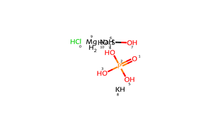 Cl.O=P(O)(O)O.O=S(=O)(O)O.[KH].[MgH2].[NaH]